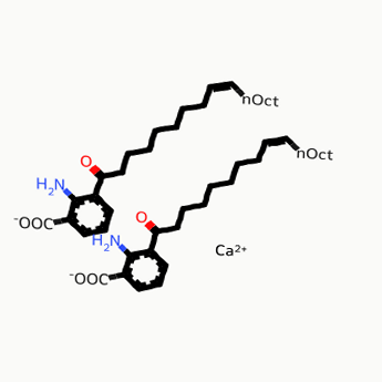 CCCCCCCC/C=C\CCCCCCCC(=O)c1cccc(C(=O)[O-])c1N.CCCCCCCC/C=C\CCCCCCCC(=O)c1cccc(C(=O)[O-])c1N.[Ca+2]